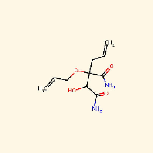 C=CCOC(CC=C)(C(N)=O)C(O)C(N)=O